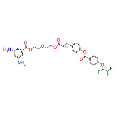 Nc1cc(N)cc(C(=O)OCCOCCOC(=O)/C=C/c2ccc(OC(=O)c3ccc(OC(F)C(F)F)cc3)cc2)c1